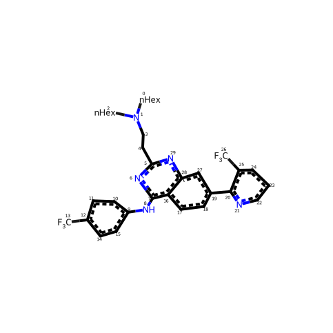 CCCCCCN(CCCCCC)CCc1nc(Nc2ccc(C(F)(F)F)cc2)c2ccc(-c3ncccc3C(F)(F)F)cc2n1